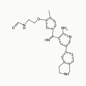 Cc1ccc(C(=N)c2cc(-c3ccc4c(c3)CCNC4)cnc2N)cc1OCCNC=O